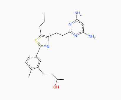 CCCc1sc(-c2ccc(C)c(CCC(C)O)c2)nc1CCc1nc(N)cc(N)n1